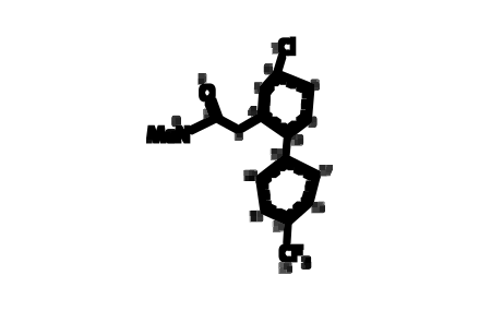 CNC(=O)Cc1cc(Cl)ccc1-c1ccc(C(F)(F)F)cc1